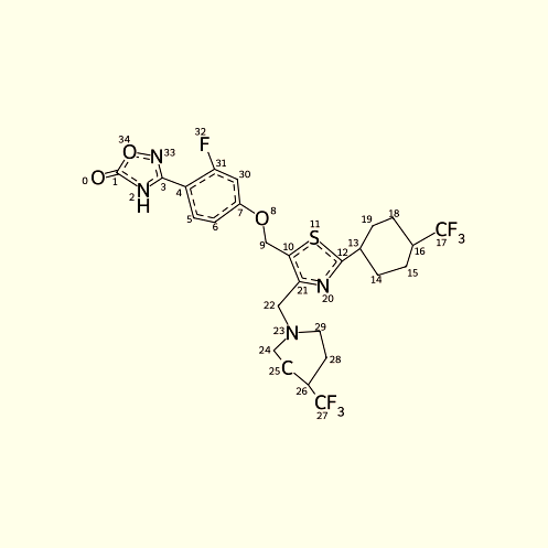 O=c1[nH]c(-c2ccc(OCc3sc(C4CCC(C(F)(F)F)CC4)nc3CN3CCC(C(F)(F)F)CC3)cc2F)no1